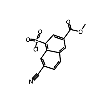 COC(=O)c1cc(S(=O)(=O)Cl)c2cc(C#N)ccc2c1